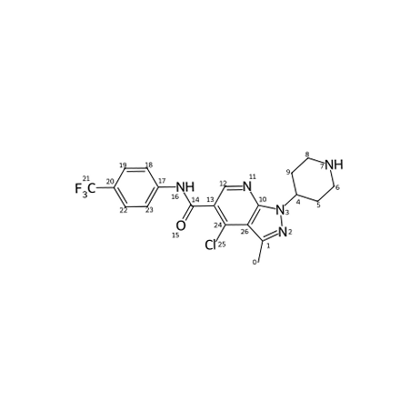 Cc1nn(C2CCNCC2)c2ncc(C(=O)Nc3ccc(C(F)(F)F)cc3)c(Cl)c12